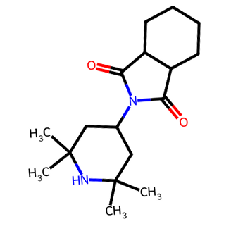 CC1(C)CC(N2C(=O)C3CCCCC3C2=O)CC(C)(C)N1